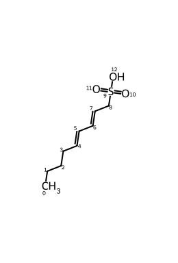 CCCCC=CC=CCS(=O)(=O)O